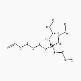 C=CCCCC[CH2][Sn]([CH2]CCC)([CH2]CCC)[CH2]CCC